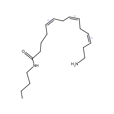 CCCCNC(=O)CCC/C=C\C/C=C\C/C=C\CCN